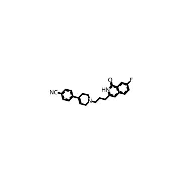 N#Cc1ccc(C2=CCN(CCCc3cc4ccc(F)cc4c(=O)[nH]3)CC2)cc1